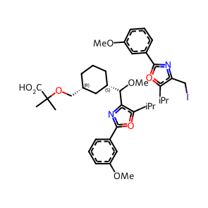 COc1cccc(-c2nc(C(OC)[C@H]3CCC[C@@H](COC(C)(C)C(=O)O)C3)c(C(C)C)o2)c1.COc1cccc(-c2nc(CI)c(C(C)C)o2)c1